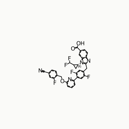 N#Cc1ccc(COc2cccc(-c3cc(F)c(Cc4nc5ccc(C(=O)O)cc5n4[C@@H]4CC4C(F)F)cc3F)n2)c(F)c1